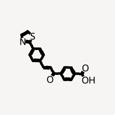 O=C(O)c1ccc(C(=O)/C=C/c2ccc(-c3nccs3)cc2)cc1